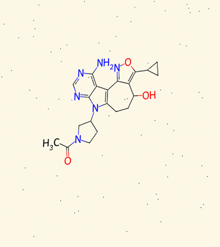 CC(=O)N1CCC(n2c3c(c4c(N)ncnc42)-c2noc(C4CC4)c2C(O)CC3)C1